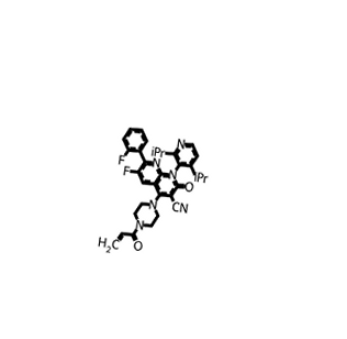 C=CC(=O)N1CCN(c2c(C#N)c(=O)n(-c3c(C(C)C)ccnc3C(C)C)c3nc(-c4ccccc4F)c(F)cc23)CC1